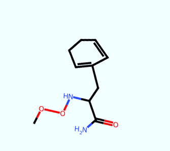 COONC(CC1=CCCC=C1)C(N)=O